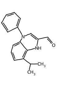 CC(C)c1cccc2c1NC(C=O)=CN2c1ccccc1